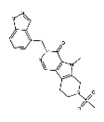 Cn1c2c(c3cnn(Cc4cccc5[nH]ncc45)c(=O)c31)CCN(S(C)(=O)=O)C2